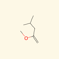 C=C(CC(C)C)OC